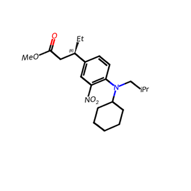 CC[C@H](CC(=O)OC)c1ccc(N(CC(C)C)C2CCCCC2)c([N+](=O)[O-])c1